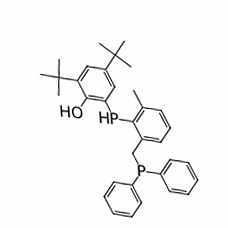 Cc1cccc(CP(c2ccccc2)c2ccccc2)c1Pc1cc(C(C)(C)C)cc(C(C)(C)C)c1O